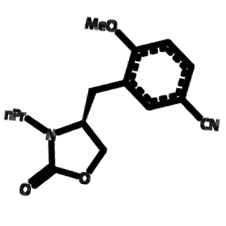 CCCN1C(=O)OC[C@@H]1Cc1cc(C#N)ccc1OC